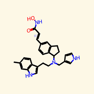 Cc1ccc2c(CCN(Cc3cc[nH]c3)C3CCc4cc(/C=C/C(=O)NO)ccc43)c[nH]c2c1